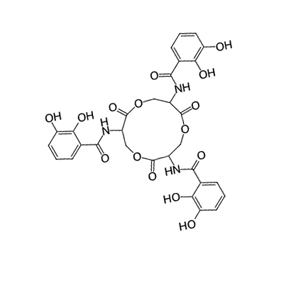 O=C(NC1COC(=O)C(NC(=O)c2cccc(O)c2O)COC(=O)C(NC(=O)c2cccc(O)c2O)COC1=O)c1cccc(O)c1O